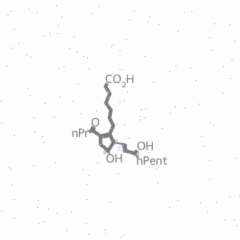 CCCCC[C@H](O)/C=C/[C@@H]1C(CCCCCCC(=O)O)=C(C(=O)CCC)C[C@H]1O